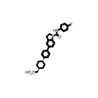 O=C(O)C[C@H]1CC[C@H](c2ccc(-c3ccc4c(c3)CCN4C(=O)Nc3ccc(F)cc3)cc2)CC1